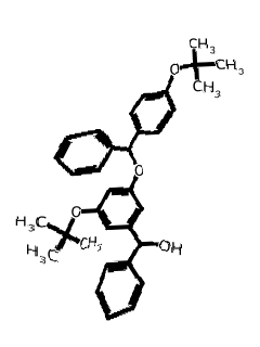 CC(C)(C)Oc1ccc(C(Oc2cc(OC(C)(C)C)cc(C(O)c3ccccc3)c2)c2ccccc2)cc1